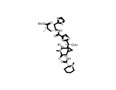 COC(=O)[C@@H](C)C[C@H](Cc1nccs1)NC(=O)c1csc([C@@H](C[C@H](C(C)C)N(C)C(=O)[C@@H](NC(=O)[C@H]2CCCCN2C)C2CC2)OC(C)=O)n1